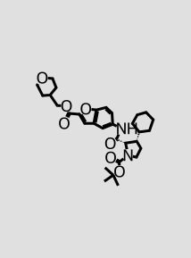 CC(C)(C)OC(=O)N1CC[C@@H](C2CCCCC2)[C@H]1C(=O)Nc1ccc2oc(C(=O)OCC3CCOCC3)cc2c1